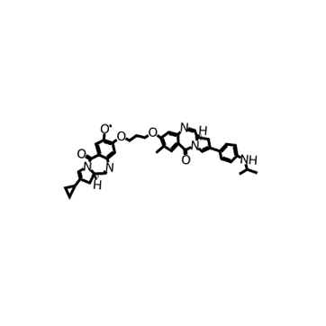 COc1cc2c(cc1OCCCOc1cc3c(cc1C)C(=O)N1C=C(c4ccc(NC(C)C)cc4)C[C@H]1C=N3)N=C[C@@H]1CC(C3CC3)=CN1C2=O